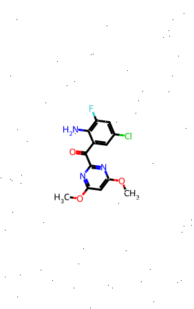 COc1cc(OC)nc(C(=O)c2cc(Cl)cc(F)c2N)n1